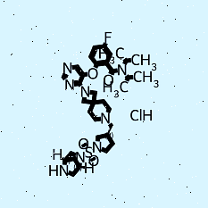 CC(C)N(C(=O)c1cc(F)ccc1Oc1cncnc1N1CC2(CCN(C[C@H]3CCN(S(=O)(=O)N4C[C@@H]5C[C@H]4CN5)C3)CC2)C1)C(C)C.Cl